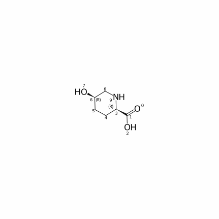 O=C(O)[C@H]1CC[C@@H](O)CN1